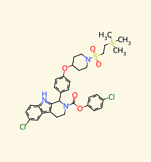 CS(C)(C)CCS(=O)(=O)N1CCC(Oc2ccc(C3c4[nH]c5ccc(Cl)cc5c4CCN3C(=O)Oc3ccc(Cl)cc3)cc2)CC1